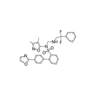 Cc1noc(N(CNCC(F)(F)c2ccccc2)S(=O)(=O)c2ccccc2-c2ccc(-c3ncco3)cc2)c1C